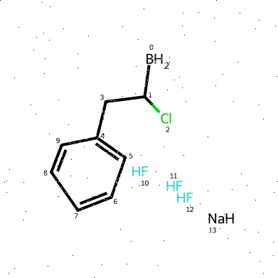 BC(Cl)Cc1ccccc1.F.F.F.[NaH]